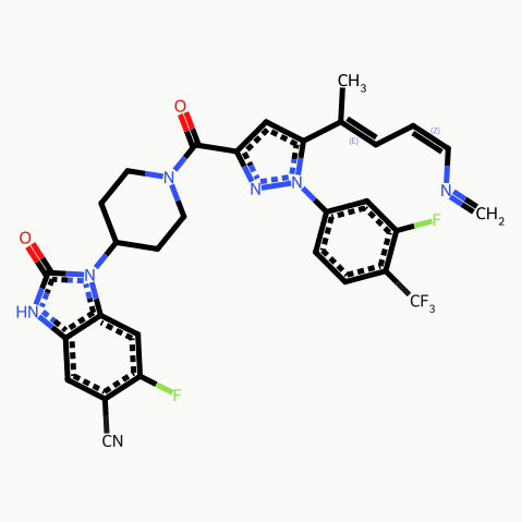 C=N/C=C\C=C(/C)c1cc(C(=O)N2CCC(n3c(=O)[nH]c4cc(C#N)c(F)cc43)CC2)nn1-c1ccc(C(F)(F)F)c(F)c1